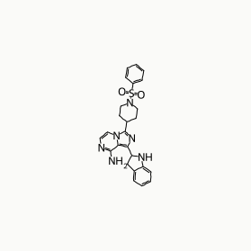 Nc1nccn2c(C3CCN(S(=O)(=O)c4ccccc4)CC3)nc(C3Cc4ccccc4N3)c12